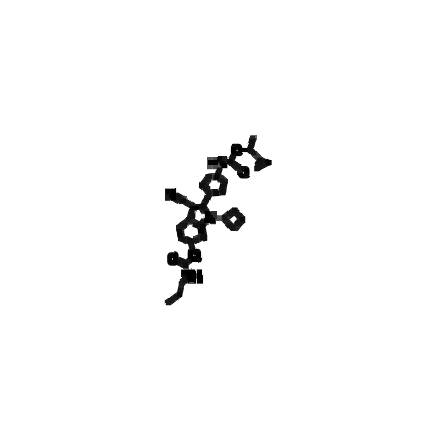 CCCNC(=O)Oc1ccc2c(C#N)c(-c3ccc(NC(=O)OC(C)C4CC4)cc3)n(C3CCC3)c2c1